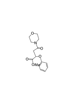 COC(=O)C(CC(=O)N1CCOCC1)Oc1ccccc1